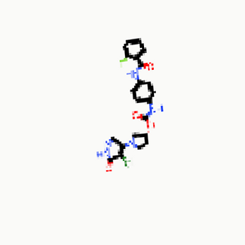 O=C(Nc1ccc(NC(=O)c2ccccc2F)cc1)O[C@@H]1CCN(c2cn[nH]c(=O)c2Cl)C1